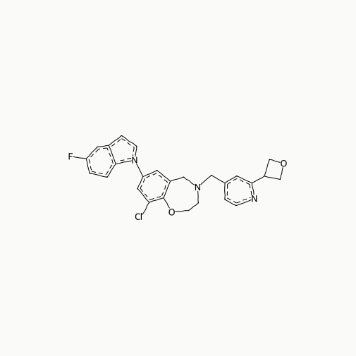 Fc1ccc2c(ccn2-c2cc(Cl)c3c(c2)CN(Cc2ccnc(C4COC4)c2)CCO3)c1